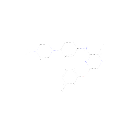 CN1CCN(C2C=CC(NC3=NC(OC4=CC=CC([N+](=O)[O-])C4)CN=C3C=O)CC2)CC1